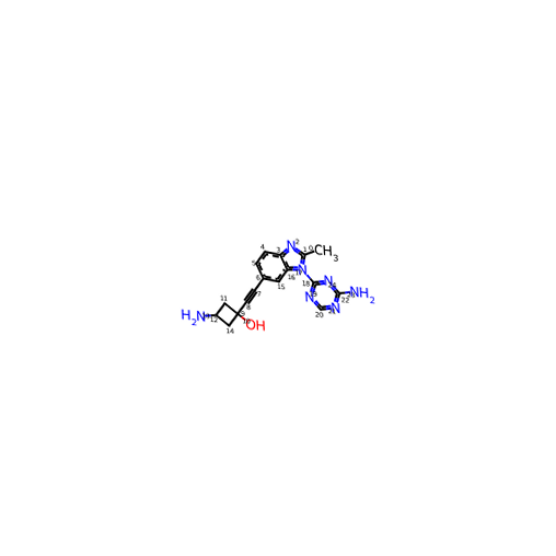 Cc1nc2ccc(C#CC3(O)CC(N)C3)cc2n1-c1ncnc(N)n1